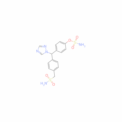 NS(=O)(=O)Cc1ccc(C(c2ccc(OS(N)(=O)=O)cc2)n2cncn2)cc1